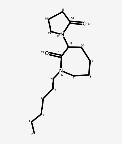 CCCCCCN1CCCCC(N2CCCC2=O)C1=O